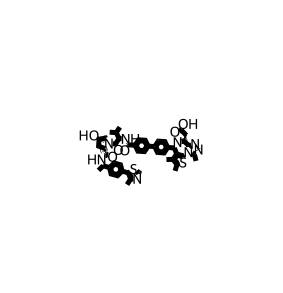 Cc1ncsc1-c1ccc(C(C)NC(=O)[C@@H]2C[C@@H](O)CN2C(=O)C(NC(=O)c2ccc(-c3ccc(C4=N[C@@H](CC(=O)O)c5nnc(C)n5-c5sc(C)c(C)c54)cc3)cc2)C(C)C)cc1